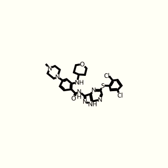 CN1CCN(c2ccc(C(=O)Nc3n[nH]c4ncc(Sc5cc(Cl)ccc5Cl)nc34)c(NC3CCOCC3)c2)CC1